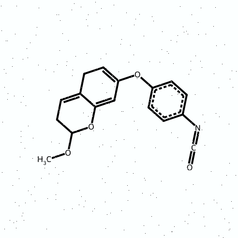 COC1CC=C2CC=C(Oc3ccc(N=C=O)cc3)C=C2O1